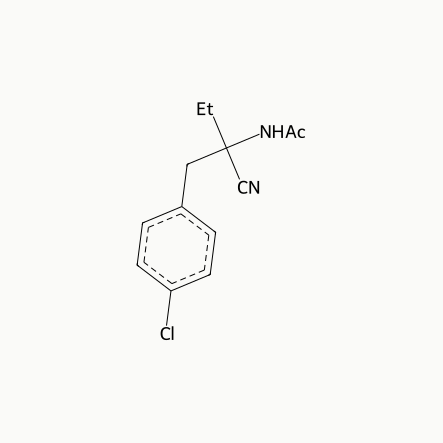 CCC(C#N)(Cc1ccc(Cl)cc1)NC(C)=O